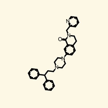 O=C1c2cc(N3CCN(CCC(c4ccccc4)c4ccccc4)CC3)ccc2CCN1Cc1ccccn1